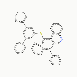 c1ccc(-c2cc(Sc3c4ccccc4c(-c4ccccc4)c4cnc5ccccc5c34)cc(-c3ccccc3)c2)cc1